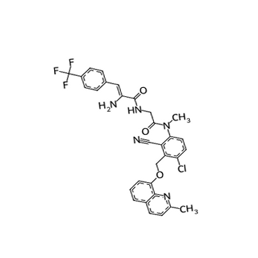 Cc1ccc2cccc(OCc3c(Cl)ccc(N(C)C(=O)CNC(=O)/C(N)=C/c4ccc(C(F)(F)F)cc4)c3C#N)c2n1